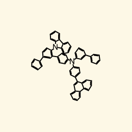 c1ccc(-c2cccc(N(c3ccc(-c4cc(-c5ccccc5)ccc4-n4c5ccccc5c5ccccc54)cc3)c3ccc(-c4cc5ccccc5c5ccccc45)cc3)c2)cc1